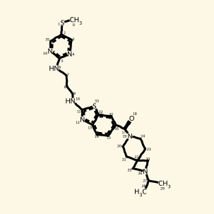 CSc1cnc(NCCCNc2nc3ccc(C(=O)N4CCC5(CC4)CN(C(C)C)C5)cc3s2)nc1